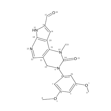 COc1cc(OC)cc(N2Cc3cnc4[nH]c(C=O)cc4c3N(C)C2=O)c1